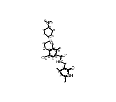 Cc1cc(C)c(CNC(=O)c2cc(Cl)c3c(c2C)O[C@@H](C2CCC(N(C)C)CC2)CO3)c(=O)[nH]1